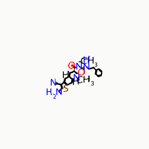 CCN(C(=O)NCCc1ccccc1)C(=O)[C@@H]1C[C@@H]2Cc3c(sc(N)c3C#N)C[C@H]2N(C)C1